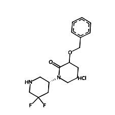 Cl.O=C1C(OCc2ccccc2)CCCN1[C@H]1CNCC(F)(F)C1